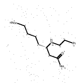 CCCCCCCCCCCCC[C@@H](CC(N)=O)NCCC(C)C